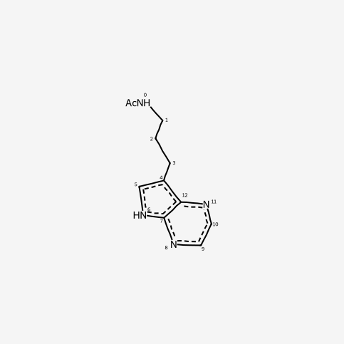 CC(=O)NCCCc1c[nH]c2nccnc12